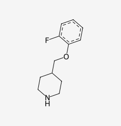 Fc1ccccc1OCC1CCNCC1